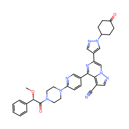 CO[C@@H](C(=O)N1CCN(c2ccc(-c3nc(-c4cnn(C5CCC(=O)CC5)c4)cn4ncc(C#N)c34)cn2)CC1)c1ccccc1